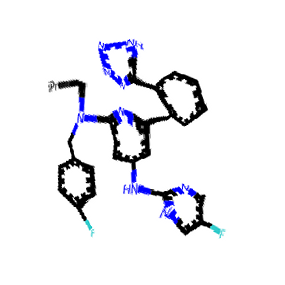 CC(C)CN(Cc1ccc(F)cc1)c1cc(Nc2ncc(F)cn2)cc(-c2ccccc2-c2nnn[nH]2)n1